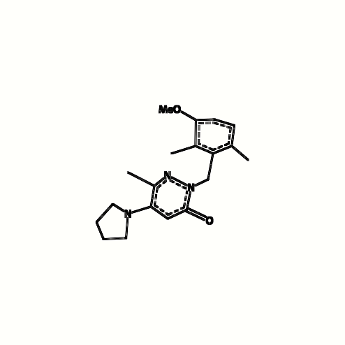 COc1ccc(C)c(Cn2nc(C)c(N3CCCC3)cc2=O)c1C